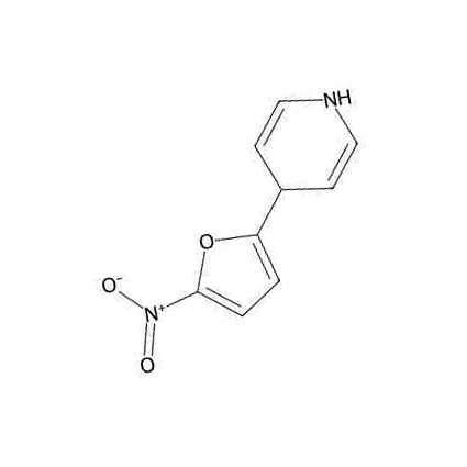 O=[N+]([O-])c1ccc(C2C=CNC=C2)o1